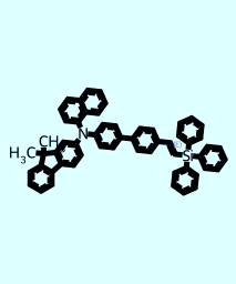 CC1(C)c2ccccc2-c2ccc(N(c3ccc(-c4ccc(/C=C/[Si](c5ccccc5)(c5ccccc5)c5ccccc5)cc4)cc3)c3cccc4ccccc34)cc21